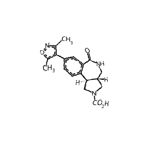 Cc1noc(C)c1-c1ccc2c(c1)C(=O)NC[C@@H]1CN(C(=O)O)C[C@@H]21